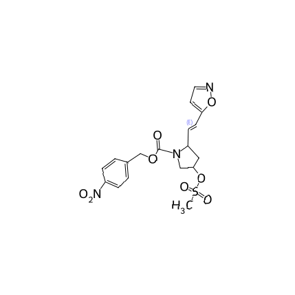 CS(=O)(=O)OC1CC(/C=C/c2ccno2)N(C(=O)OCc2ccc([N+](=O)[O-])cc2)C1